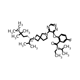 CCN(C(=O)c1cc(F)ccc1Oc1nncnc1N1CCC2(C1)CN([C@@H](CCC(C)(C)N(C)C)C(C)C)C2)C(C)C